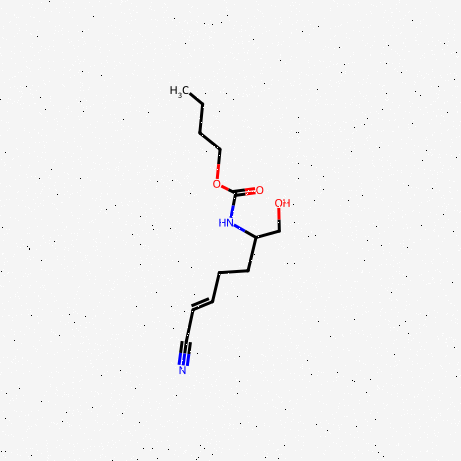 CCCCOC(=O)NC(CO)CC/C=C/C#N